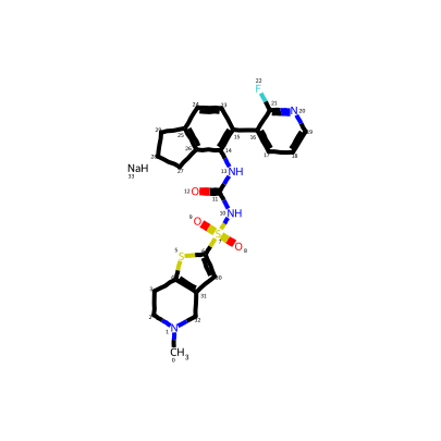 CN1CCc2sc(S(=O)(=O)NC(=O)Nc3c(-c4cccnc4F)ccc4c3CCC4)cc2C1.[NaH]